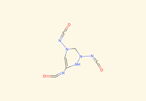 O=C=NC1=CN(N=C=O)CN(N=C=O)N1